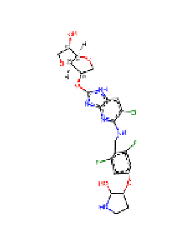 OC1NCCC1Oc1cc(F)c(CNc2nc3nc(O[C@@H]4CO[C@H]5[C@@H]4OC[C@H]5O)[nH]c3cc2Cl)c(F)c1